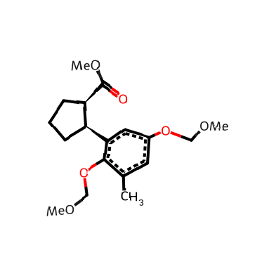 COCOc1cc(C)c(OCOC)c([C@H]2CCC[C@H]2C(=O)OC)c1